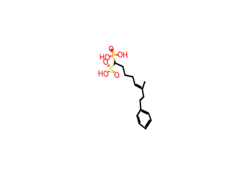 CC(=CCCCC(P(=O)(O)O)S(=O)(=O)O)CCc1ccccc1